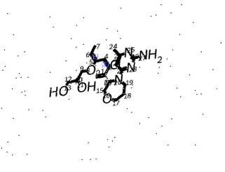 C=C(/C(Cl)=C\C(=C/C)OC[C@@H](O)CO)[C@H]1COCCCN1c1cc(C)nc(N)n1